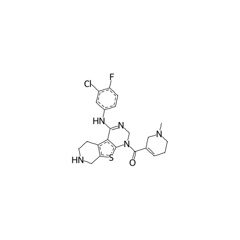 CN1CCC=C(C(=O)N2CN=C(Nc3ccc(F)c(Cl)c3)c3c2sc2c3CCNC2)C1